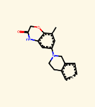 Cc1cc(N2CCc3ccccc3C2)cc2c1OCC(=O)N2